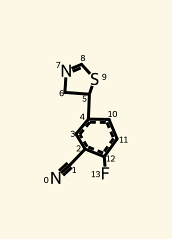 N#Cc1cc(C2CN=CS2)ccc1F